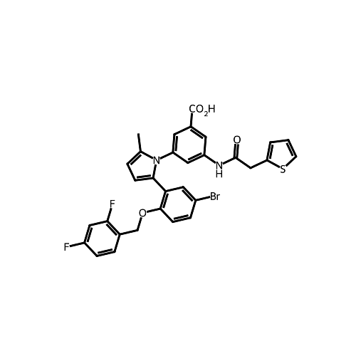 Cc1ccc(-c2cc(Br)ccc2OCc2ccc(F)cc2F)n1-c1cc(NC(=O)Cc2cccs2)cc(C(=O)O)c1